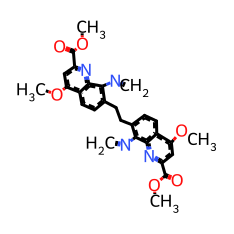 C=Nc1c(CCc2ccc3c(OC)cc(C(=O)OC)nc3c2N=C)ccc2c(OC)cc(C(=O)OC)nc12